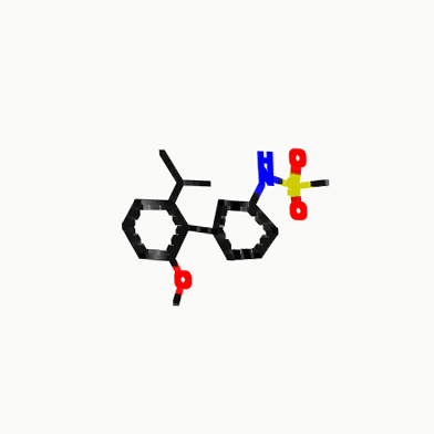 COc1cccc(C(C)C)c1-c1cccc(NS(C)(=O)=O)c1